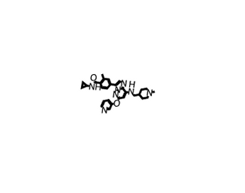 Cc1cc(-c2cnc3c(NCC4CCN(C)CC4)cc(Oc4cccnc4)nn23)ccc1C(=O)NC1CC1